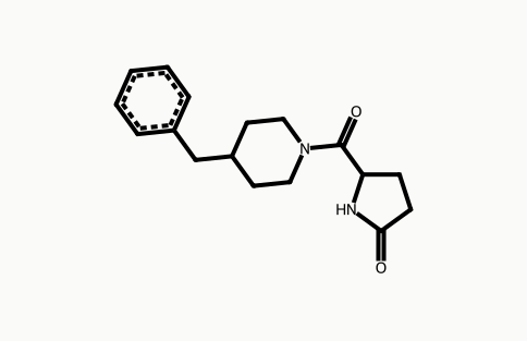 O=C1CCC(C(=O)N2CCC(Cc3ccccc3)CC2)N1